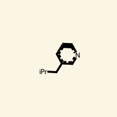 CC(C)Cc1cc#cnc1